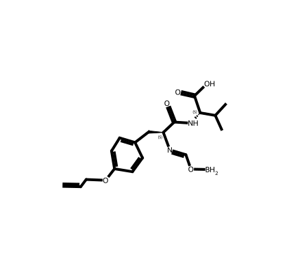 BOC=N[C@@H](Cc1ccc(OCC=C)cc1)C(=O)N[C@H](C(=O)O)C(C)C